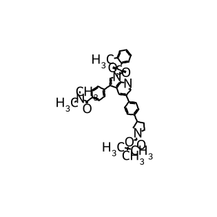 Cc1ccccc1S(=O)(=O)n1cc(-c2ccc(C(=O)N(C)C)cc2)c2cc(-c3ccc(C4CCN(C(=O)OC(C)(C)C)C4)cc3)cnc21